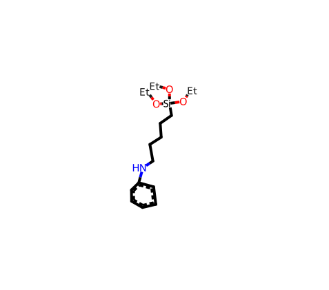 CCO[Si](CCCCCNc1ccccc1)(OCC)OCC